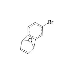 Brc1ccc2c(c1)C1C=CC2O1